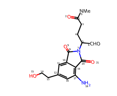 CNC(=O)CCC(C=O)N1C(=O)c2cc(CCO)cc(N)c2C1=O